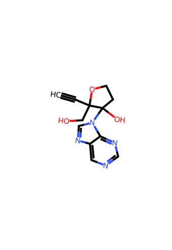 C#CC1(CO)OCCC1(O)n1cnc2cncnc21